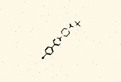 CC(C)(C)OC(=O)N1CCN(c2ncc(-c3ccc(C#N)cc3)cn2)CC1